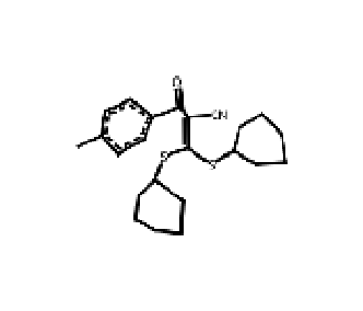 Cc1ccc(C(=O)C(C#N)=C(SC2CCCCC2)SC2CCCCC2)cc1